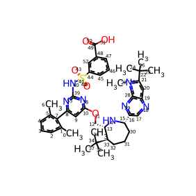 Cc1cccc(C)c1-c1cc(OC[C@@H]2N[C@H](c3cnc4cc(C(C)(C)C)n(C)c4n3)CCC[C@H]2C(C)(C)C)nc(NS(=O)(=O)c2cccc(C(=O)O)c2)n1